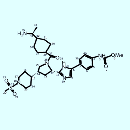 COC(=O)Nc1ccc(-c2cnc([C@@H]3C[C@H](C4CCN(S(C)(=O)=O)CC4)CN3C(=O)C3CCC([C@H](C)N)CC3)[nH]2)cc1